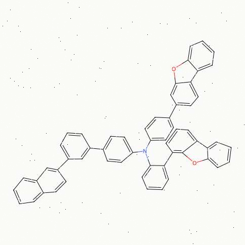 c1cc(-c2ccc(N(c3ccc(-c4ccc5c(c4)oc4ccccc45)cc3)c3ccccc3-c3cccc4c3oc3ccccc34)cc2)cc(-c2ccc3ccccc3c2)c1